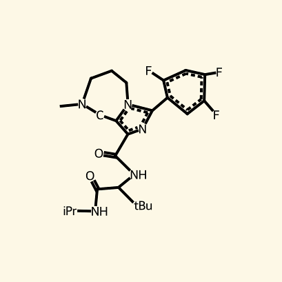 CC(C)NC(=O)C(NC(=O)c1nc(-c2cc(F)c(F)cc2F)n2c1CN(C)CCC2)C(C)(C)C